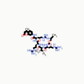 CCCCOC(=O)N[C@@H](CCCNC(=N)N)C(=O)N[C@H](C(=O)N[C@@H](CCCNC(=N)N)C(=O)N[C@@H](CCCNC(=N)N)C(=O)Nc1ccc2c(C)cc(=O)oc2c1)C(C)C